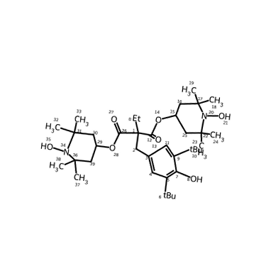 CCC(Cc1cc(C(C)(C)C)c(O)c(C(C)(C)C)c1)(C(=O)OC1CC(C)(C)N(O)C(C)(C)C1)C(=O)OC1CC(C)(C)N(O)C(C)(C)C1